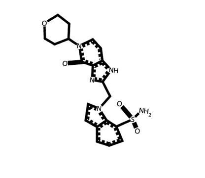 NS(=O)(=O)c1cccc2ccn(Cc3nc4c(=O)n(C5CCOCC5)ccc4[nH]3)c12